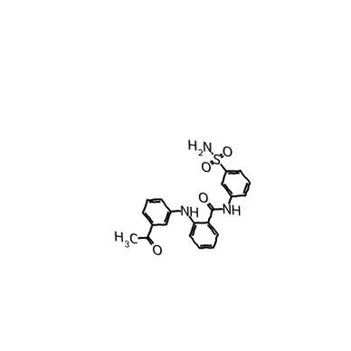 CC(=O)c1cccc(Nc2ccccc2C(=O)Nc2cccc(S(N)(=O)=O)c2)c1